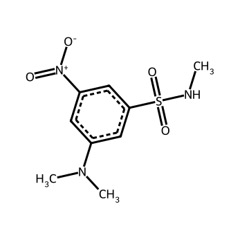 CNS(=O)(=O)c1cc(N(C)C)cc([N+](=O)[O-])c1